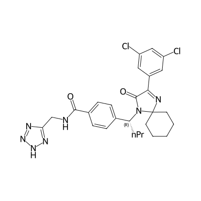 CCC[C@H](c1ccc(C(=O)NCc2nn[nH]n2)cc1)N1C(=O)C(c2cc(Cl)cc(Cl)c2)=NC12CCCCC2